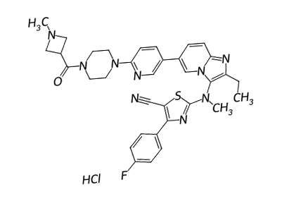 CCc1nc2ccc(-c3ccc(N4CCN(C(=O)C5CN(C)C5)CC4)nc3)cn2c1N(C)c1nc(-c2ccc(F)cc2)c(C#N)s1.Cl